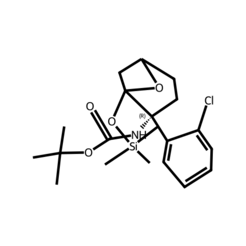 CC(C)(C)OC(=O)N[C@@]1(c2ccccc2Cl)CCC2CC1(O[Si](C)(C)C)O2